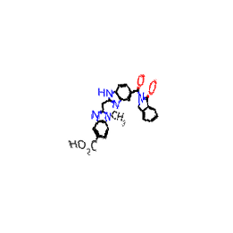 Cn1c(Cc2nc3cc(C(=O)N4Cc5ccccc5C4=O)ccc3[nH]2)nc2cc(C(=O)O)ccc21